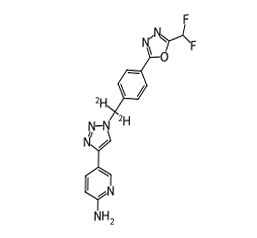 [2H]C([2H])(c1ccc(-c2nnc(C(F)F)o2)cc1)n1cc(-c2ccc(N)nc2)nn1